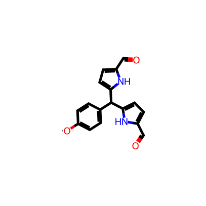 [O]c1ccc(C(c2ccc(C=O)[nH]2)c2ccc(C=O)[nH]2)cc1